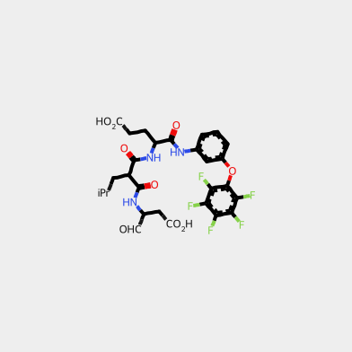 CC(C)CC(C(=O)NC(C=O)CC(=O)O)C(=O)NC(CCC(=O)O)C(=O)Nc1cccc(Oc2c(F)c(F)c(F)c(F)c2F)c1